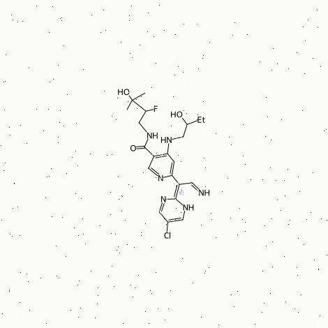 CCC(O)CNc1cc(/C(C=N)=C2\N=CC(Cl)=CN2)ncc1C(=O)NCC(F)C(C)(C)O